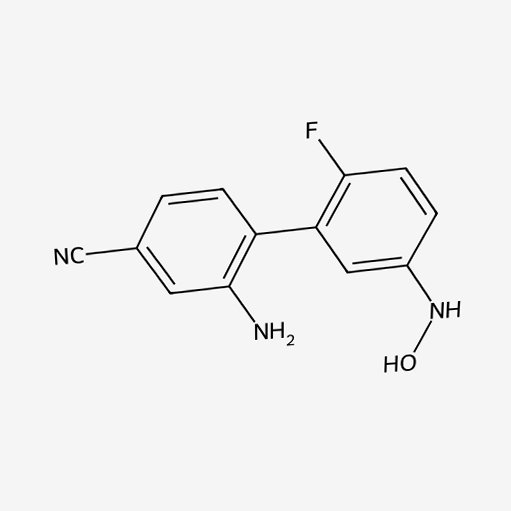 N#Cc1ccc(-c2cc(NO)ccc2F)c(N)c1